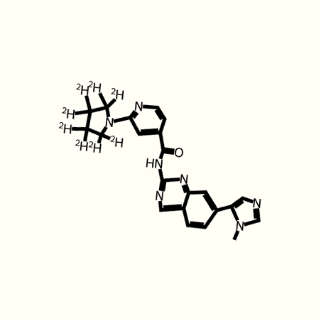 [2H]C1([2H])N(c2cc(C(=O)Nc3ncc4ccc(-c5cncn5C)cc4n3)ccn2)C([2H])([2H])C([2H])([2H])C1([2H])[2H]